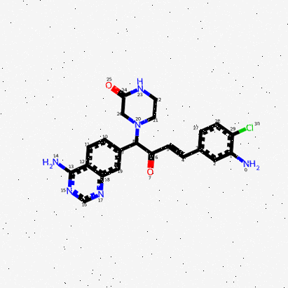 Nc1cc(/C=C/C(=O)C(c2ccc3c(N)ncnc3c2)N2CCNC(=O)C2)ccc1Cl